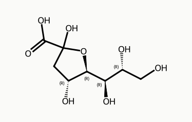 O=C(O)C1(O)C[C@@H](O)[C@H]([C@H](O)[C@H](O)CO)O1